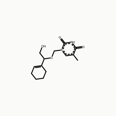 Cc1cn(COC(CO)C2=CCCCC2)c(=O)[nH]c1=O